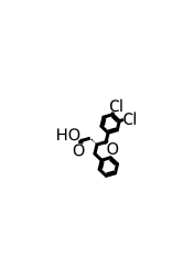 O=C(O)C[C@@H](Cc1ccccc1)C(=O)c1ccc(Cl)c(Cl)c1